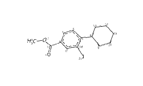 COC(=O)c1ccc(C2CCCCC2)c(I)c1